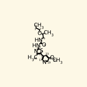 CCCO[C@@H](C)CNC(=O)Nc1nc(C)c(-c2cncc(OC)c2)s1